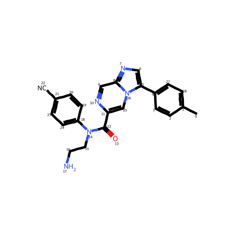 Cc1ccc(-c2cnc3cnc(C(=O)N(CCN)c4ccc(C#N)cc4)cn23)cc1